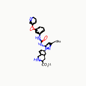 CC(C)(C)c1cc(NC(=O)Nc2cccc(Oc3cccnc3)c2)n(-c2ccc3c(c2)CC(C(=O)O)NC3)n1